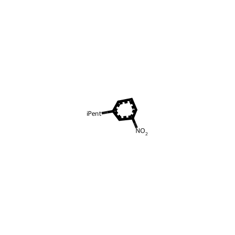 CCCC(C)c1cccc([N+](=O)[O-])c1